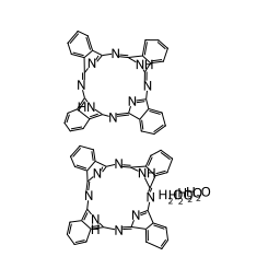 O.O.O.O.c1ccc2c(c1)-c1nc-2nc2[nH]c(nc3nc(nc4[nH]c(n1)c1ccccc41)-c1ccccc1-3)c1ccccc21.c1ccc2c(c1)-c1nc-2nc2[nH]c(nc3nc(nc4[nH]c(n1)c1ccccc41)-c1ccccc1-3)c1ccccc21